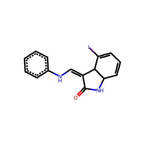 O=C1NC2C=CC=C(I)C2/C1=C/Nc1ccccc1